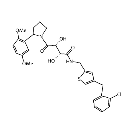 COc1ccc(OC)c(C2CCCN2C(=O)[C@H](O)[C@@H](O)C(=O)NCc2cc(Cc3ccccc3Cl)cs2)c1